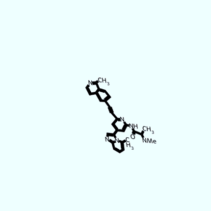 CNC(C)C(=O)Nc1cc(-c2cnc3cccc(C)n23)cc(C#Cc2ccc3c(C)nccc3c2)n1